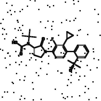 CC(C)(C)N(C(=O)O)C1CCN(c2ccc(-c3ccccc3P(C)(C)=O)c(C3CC3)c2F)C1=O